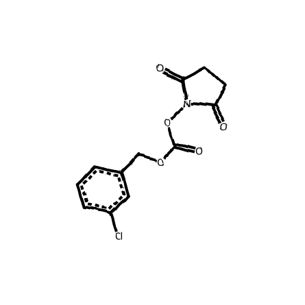 O=C(OCc1cccc(Cl)c1)ON1C(=O)CCC1=O